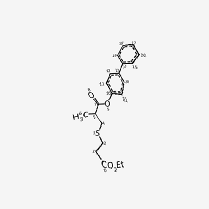 CCOC(=O)CCSCC(C)C(=O)Oc1ccc(-c2ccccc2)cc1